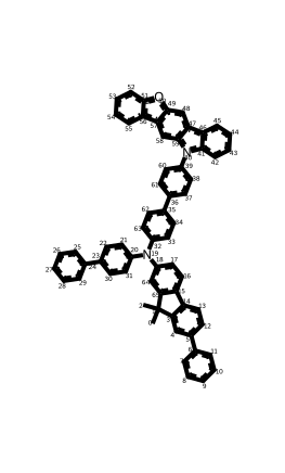 CC1(C)c2cc(-c3ccccc3)ccc2-c2ccc(N(c3ccc(-c4ccccc4)cc3)c3ccc(-c4ccc(-n5c6ccccc6c6cc7oc8ccccc8c7cc65)cc4)cc3)cc21